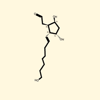 O=CC[C@@H]1[C@@H](C=CCCCCCCO)[C@@H](O)C[C@@H]1O